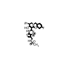 CC(C)C1CN(Cc2ccc(F)cc2)C(=O)C(C2=NS(=O)(=O)c3c(CNS(C)(=O)=O)csc3N2)=C1O